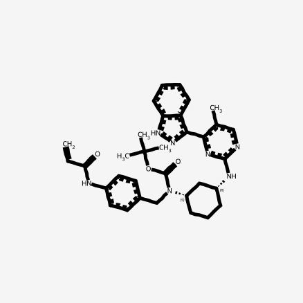 C=CC(=O)Nc1ccc(CN(C(=O)OC(C)(C)C)[C@H]2CCC[C@@H](Nc3ncc(C)c(-c4n[nH]c5ccccc45)n3)C2)cc1